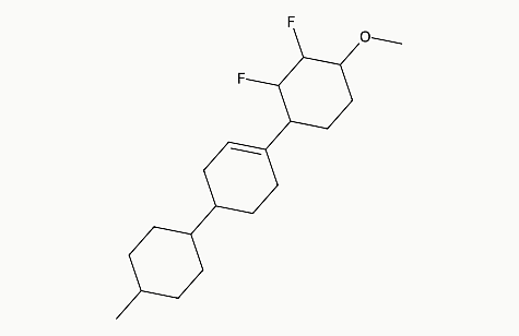 COC1CCC(C2=CCC(C3CCC(C)CC3)CC2)C(F)C1F